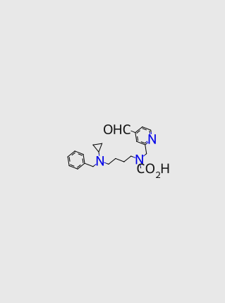 O=Cc1ccnc(CN(CCCCN(Cc2ccccc2)C2CC2)C(=O)O)c1